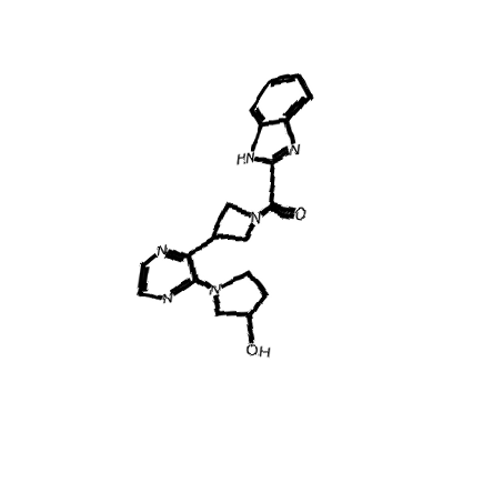 O=C(c1nc2ccccc2[nH]1)N1CC(c2nccnc2N2CCC(O)C2)C1